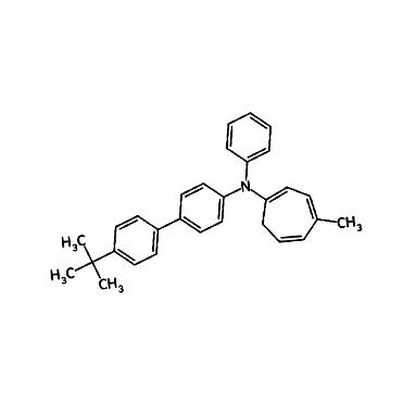 CC1=CC=C(N(c2ccccc2)c2ccc(-c3ccc(C(C)(C)C)cc3)cc2)CC=C1